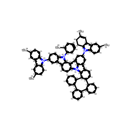 CC(C)(C)C1=Cc2c(n(-c3cc4c5ccc6c(c5n5c7ccc8c9cc(-n%10c%11ccc(C(C)(C)C)cc%11c%11cc(C(C)(C)C)ccc%11%10)ccc9n(-c9cc#ccc9C(C)(C)C)c8c7c(c3)c45)-c3ccccc3-c3ccccc3-c3ccccc3-6)c3ccc(C(C)(C)C)cc23)CC1